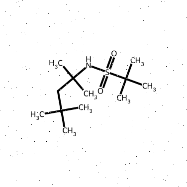 CC(C)(C)CC(C)(C)NS(=O)(=O)C(C)(C)C